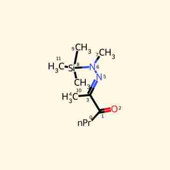 CCCC(=O)/C(C)=N/N(C)[Si](C)(C)C